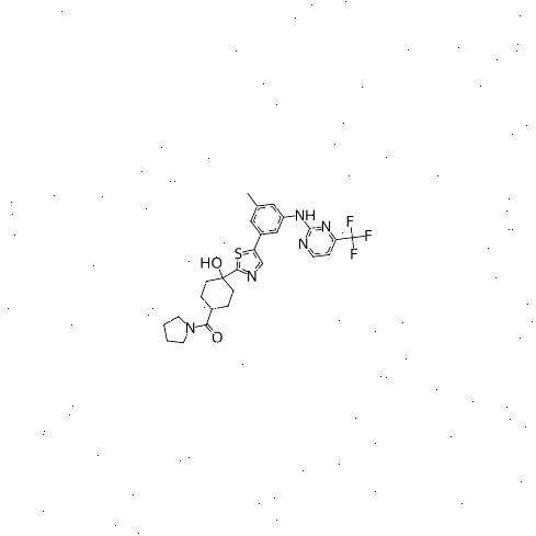 Cc1cc(Nc2nccc(C(F)(F)F)n2)cc(-c2cnc(C3(O)CCC(C(=O)N4CCCC4)CC3)s2)c1